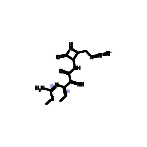 C/C=C(\N=C(\N)SC)C(=N)C(=O)NC1C(=O)NC1CN=[N+]=[N-]